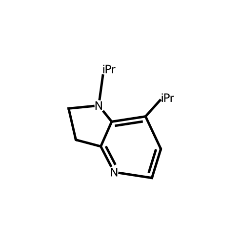 CC(C)c1ccnc2c1N(C(C)C)CC2